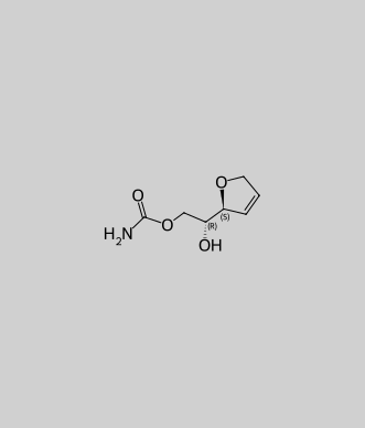 NC(=O)OC[C@@H](O)[C@@H]1C=CCO1